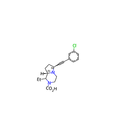 CCC1[C@@H]2CC[C@@H](C#Cc3cccc(Cl)c3)N2CCN1C(=O)O